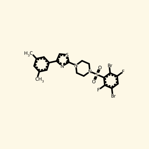 Cc1cc(C)cc(-c2csc(N3CCN(S(=O)(=O)c4c(F)c(Br)cc(F)c4Br)CC3)n2)c1